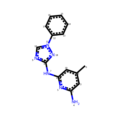 Cc1cc(N)nc(Nc2ncn(-c3ccccc3)n2)c1